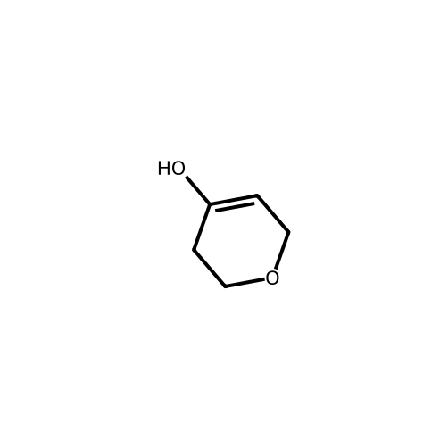 OC1=CCOCC1